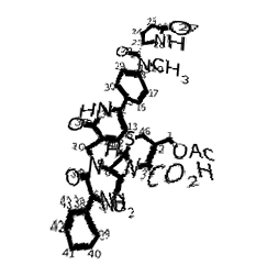 CC(=O)OCC1=C(C(=O)O)N2C(=O)C(N(Cc3ccc(-c4ccc(N(C)C(=O)[C@@H]5CCC(=O)N5)cc4)[nH]c3=O)C(=O)C(N)c3ccccc3)[C@@H]2SC1